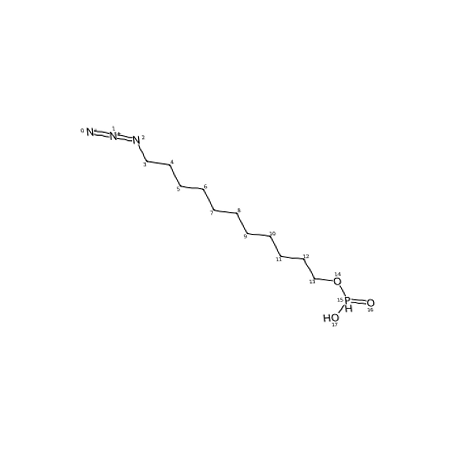 [N-]=[N+]=NCCCCCCCCCCCO[PH](=O)O